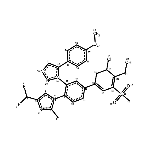 Cc1nc(C(F)F)cn1-c1ccc(C2=CC(S(C)(=O)=O)=C(CO)C(Cl)C2)cc1-n1nncc1-c1ccc(OC(F)(F)F)cc1